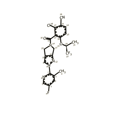 Cc1cc(F)cnc1-n1cc2c(n1)CN(C(=O)c1c(O[C@@H](C)C(F)(F)F)ccc(C#N)c1Cl)C2